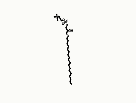 CCCCCCCCCCCCCCCCCCOC[C@H](O)COP(=O)([O-])OCC[N+](C)(C)C